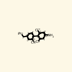 CC(C)Cc1ccc(-c2c(Cl)cc(N)cc2Cl)c(C#N)c1